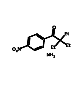 CCC(CC)(CC)C(=O)c1ccc([N+](=O)[O-])cc1.N